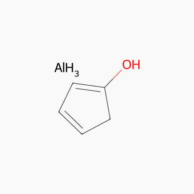 OC1=CC=CC1.[AlH3]